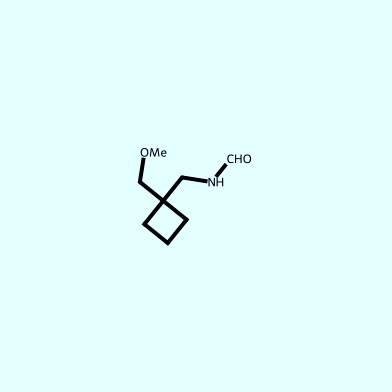 COCC1(CNC=O)CCC1